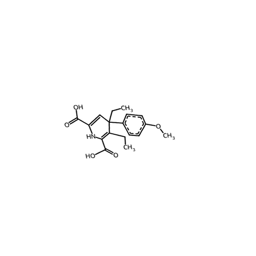 CCC1=C(C(=O)O)NC(C(=O)O)=CC1(CC)c1ccc(OC)cc1